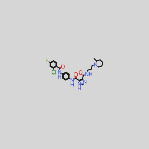 CC1CCCCN1CCCNC(=O)c1nc[nH]c1C(=O)Nc1ccc(NC(=O)c2ccc(F)cc2Cl)cc1